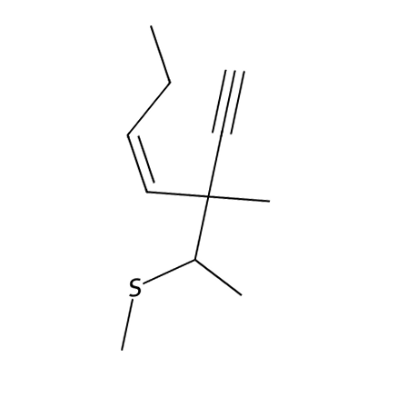 C#CC(C)(/C=C\CC)C(C)SC